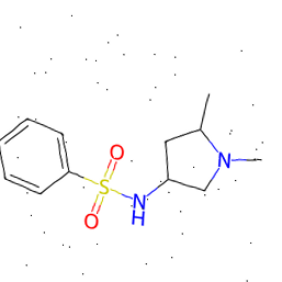 CC1CC(NS(=O)(=O)c2ccccc2)CN1C